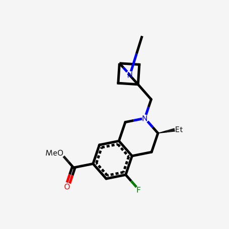 CC[C@H]1Cc2c(F)cc(C(=O)OC)cc2CN1CC12CC(C1)N(C)C2